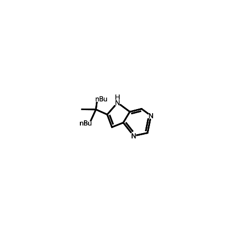 CCCCC(C)(CCCC)c1cc2ncncc2[nH]1